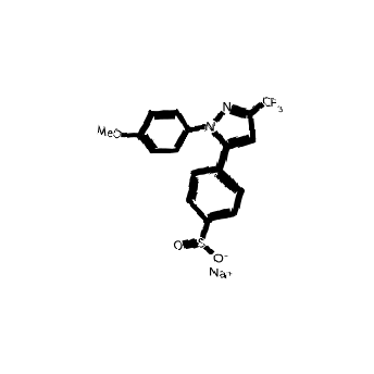 COc1ccc(-n2nc(C(F)(F)F)cc2-c2ccc(S(=O)[O-])cc2)cc1.[Na+]